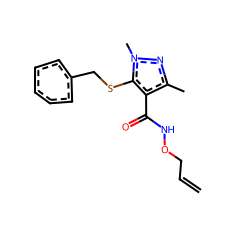 C=CCONC(=O)c1c(C)nn(C)c1SCc1ccccc1